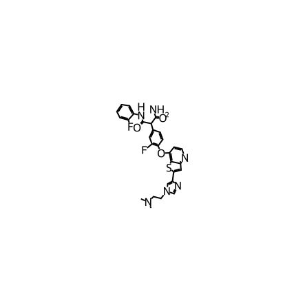 CN(C)CCn1cnc(-c2cc3nccc(Oc4ccc(C(C(N)=O)C(=O)Nc5ccccc5F)cc4F)c3s2)c1